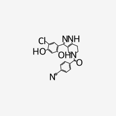 N#Cc1ccc(C(=O)N2CCc3[nH]nc(-c4cc(Cl)c(O)cc4O)c3C2)cc1